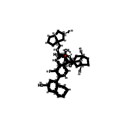 CC(C)(C)OC(=O)N1[C@@H]2CC[C@H]1CN(c1nc(OC[C@@]34CCCN3C[C@H](F)C4)nc3c(F)c(-c4cc(O)cc5ccccc45)ncc13)C2